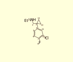 CCNCC1(c2ccc(F)c(Cl)c2)CC1